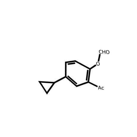 CC(=O)c1cc(C2CC2)ccc1OC=O